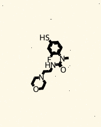 CN(C(=O)NCCN1CCOCC1)c1ccc(S)cc1F